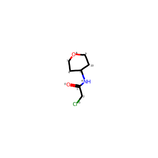 O=C(CCl)NC1CCOCC1